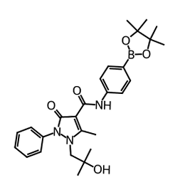 Cc1c(C(=O)Nc2ccc(B3OC(C)(C)C(C)(C)O3)cc2)c(=O)n(-c2ccccc2)n1CC(C)(C)O